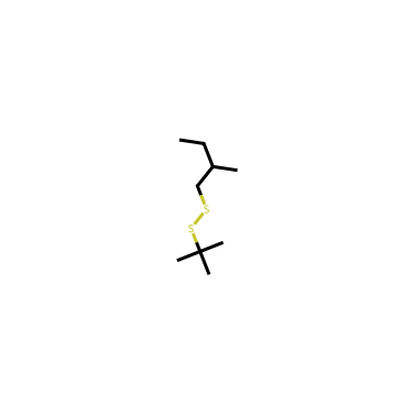 CCC(C)CSSC(C)(C)C